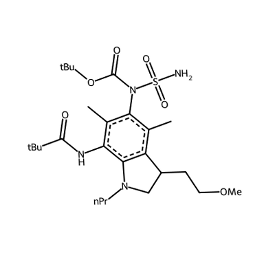 CCCN1CC(CCOC)c2c(C)c(N(C(=O)OC(C)(C)C)S(N)(=O)=O)c(C)c(NC(=O)C(C)(C)C)c21